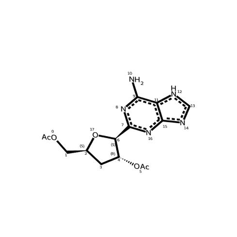 CC(=O)OC[C@@H]1C[C@@H](OC(C)=O)[C@H](c2nc(N)c3[nH]cnc3n2)O1